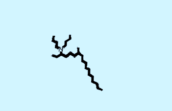 CCCCCCCCCCCC(C)CCCC(CC)N(CCCC)CCCC